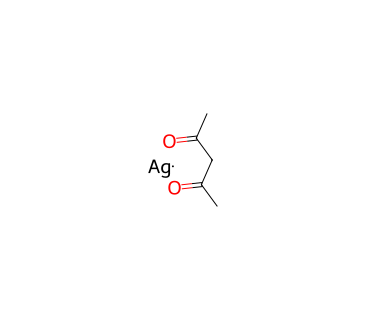 CC(=O)CC(C)=O.[Ag]